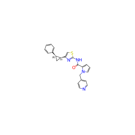 O=C(Nc1nc([C@H]2C[C@H]2c2ccccc2)cs1)c1cccn1Cc1ccncc1